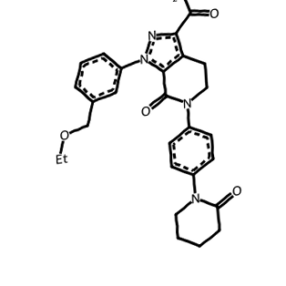 CCOCc1cccc(-n2nc(C(N)=O)c3c2C(=O)N(c2ccc(N4CCCCC4=O)cc2)CC3)c1